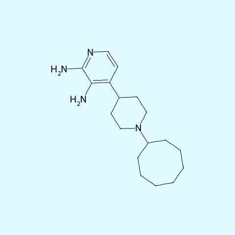 Nc1nccc(C2CCN(C3CCCCCCC3)CC2)c1N